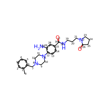 Cc1ccccc1CN1CCN(c2ccc(C(=O)NCCCN3CCCC3=O)cc2N)CC1